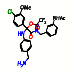 COc1cc(C(Nc2ccc(CN)cc2)(OC(=O)C(F)(F)F)C(=O)NCc2cccc(NC(C)=O)c2)ccc1Cl